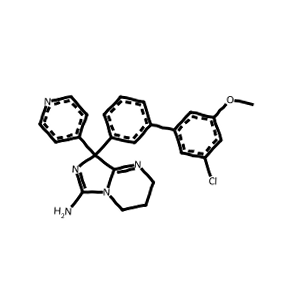 COc1cc(Cl)cc(-c2cccc(C3(c4ccncc4)N=C(N)N4CCCN=C43)c2)c1